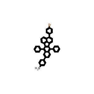 Bc1ccc(-c2ccc3c(-c4ccccc4)c4c(c(-c5ccccc5)c3c2)-c2cccc3c(-c5ccc(Br)cc5)ccc-4c23)cc1